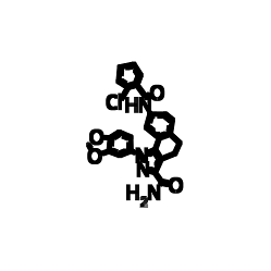 NC(=O)c1nn(-c2ccc3c(c2)OCO3)c2c1CCc1ccc(NC(=O)c3ccccc3Cl)cc1-2